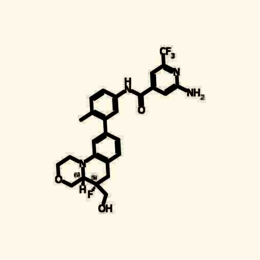 Cc1ccc(NC(=O)c2cc(N)nc(C(F)(F)F)c2)cc1-c1ccc2c(c1)N1CCOC[C@H]1[C@](F)(CO)C2